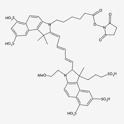 COCCN1c2ccc3c(S(=O)(=O)O)cc(S(=O)(=O)O)cc3c2C(C)(CCCS(=O)(=O)O)C1/C=C/C=C/C=C1/N(CCCCCC(=O)ON2C(=O)CCC2=O)c2ccc3c(S(=O)(=O)O)cc(S(=O)(=O)O)cc3c2C1(C)C